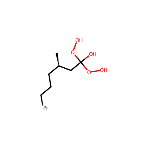 CC(C)CCC[C@@H](C)CC(O)(OO)OO